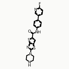 O=C(Nc1ccc(-c2ccc(F)nc2)cc1)c1cc2sc(N3CCNCC3)nc2s1